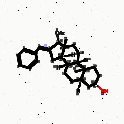 CC(=O)O[C@@H]1/C(=C/c2ccccc2)C[C@@H]2[C@H]3CC[C@@H]4C[C@@H](O)CC[C@@]4(C)[C@@H]3CC[C@@]12C